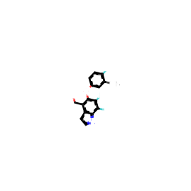 N#Cc1cc(Oc2c(F)c(F)c3[nH]ccc3c2CO)ccc1F